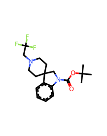 CC(C)(C)OC(=O)N1CC2(CCN(CC(F)(F)F)CC2)c2ccccc21